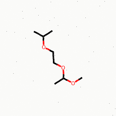 COC(C)OCCOC(C)C